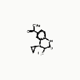 COC(=O)c1ccc2c(c1)N(C1CC1)C(C)C(=O)N2